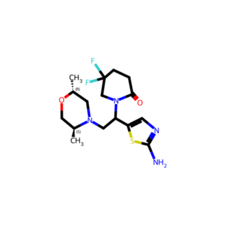 C[C@@H]1CN(CC(c2cnc(N)s2)N2CC(F)(F)CCC2=O)[C@@H](C)CO1